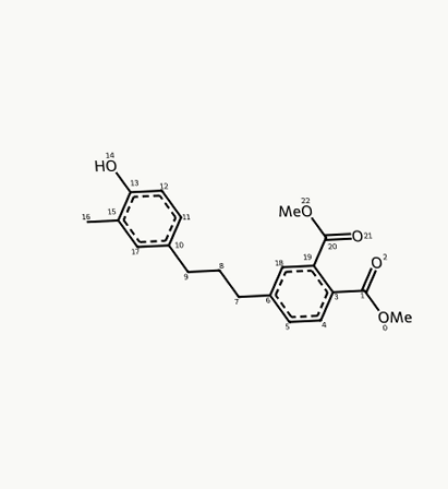 COC(=O)c1ccc(CCCc2ccc(O)c(C)c2)cc1C(=O)OC